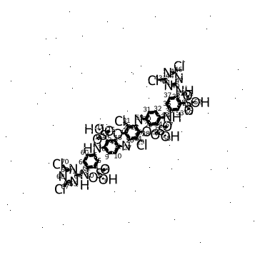 O=S(=O)(O)c1cc(Nc2ccc3c(c2S(=O)(=O)O)Oc2c(Cl)c4c(c(Cl)c2=N3)Oc2c(ccc(Nc3ccc(Nc5nc(Cl)nc(Cl)n5)c(S(=O)(=O)O)c3)c2S(=O)(=O)O)N=4)ccc1Nc1nc(Cl)nc(Cl)n1